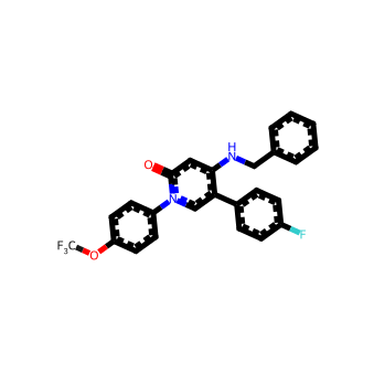 O=c1cc(NCc2ccccc2)c(-c2ccc(F)cc2)cn1-c1ccc(OC(F)(F)F)cc1